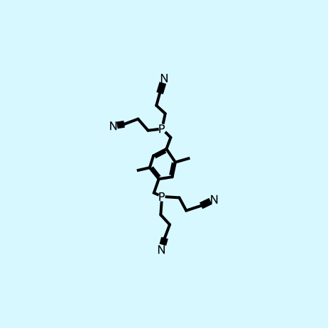 Cc1cc(CP(CCC#N)CCC#N)c(C)cc1CP(CCC#N)CCC#N